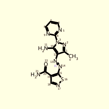 Cc1nn(-c2ncccn2)c(N)c1/N=N/c1sncc1C(N)=O